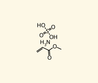 C=CC(=O)OC.N.O=S(=O)(O)O